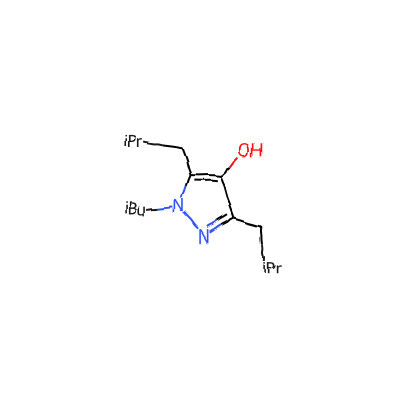 CCC(C)n1nc(CC(C)C)c(O)c1CC(C)C